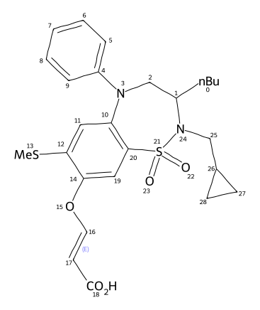 CCCCC1CN(c2ccccc2)c2cc(SC)c(O/C=C/C(=O)O)cc2S(=O)(=O)N1CC1CC1